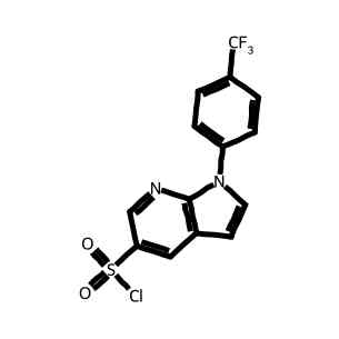 O=S(=O)(Cl)c1cnc2c(ccn2-c2ccc(C(F)(F)F)cc2)c1